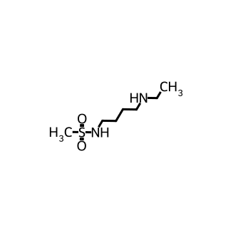 CCNCCCCNS(C)(=O)=O